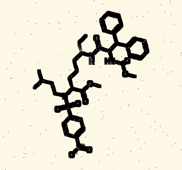 CC[C@@H](CCC[C@@H](C(=O)OC)N(CCC(C)C)S(=O)(=O)c1ccc([N+](=O)[O-])cc1)NC(=O)C(NC(=O)OC)C(c1ccccc1)c1ccccc1